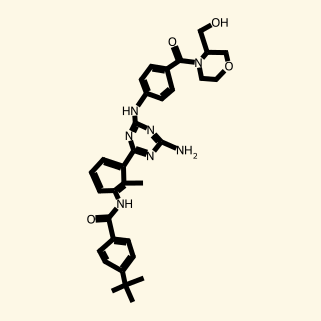 Cc1c(NC(=O)c2ccc(C(C)(C)C)cc2)cccc1-c1nc(N)nc(Nc2ccc(C(=O)N3CCOCC3CO)cc2)n1